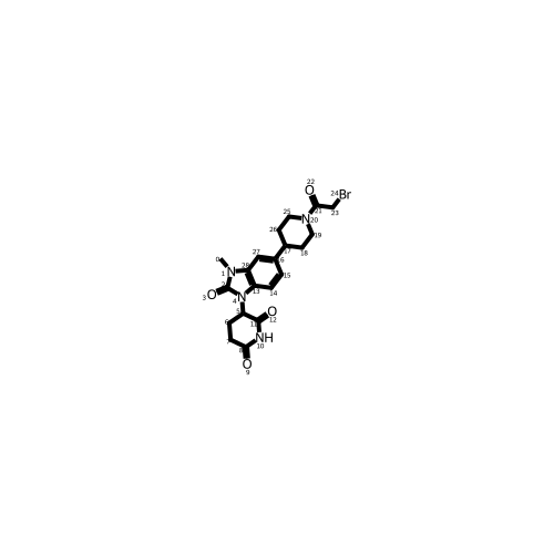 Cn1c(=O)n(C2CCC(=O)NC2=O)c2ccc(C3CCN(C(=O)CBr)CC3)cc21